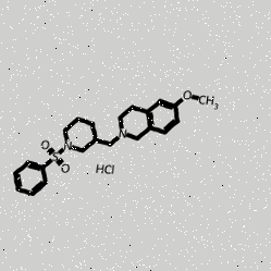 COc1ccc2c(c1)CCN(CC1CCCN(S(=O)(=O)c3ccccc3)C1)C2.Cl